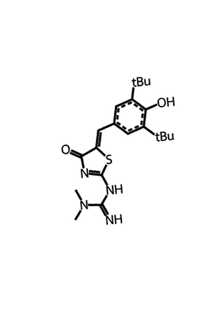 CN(C)C(=N)NC1=NC(=O)/C(=C/c2cc(C(C)(C)C)c(O)c(C(C)(C)C)c2)S1